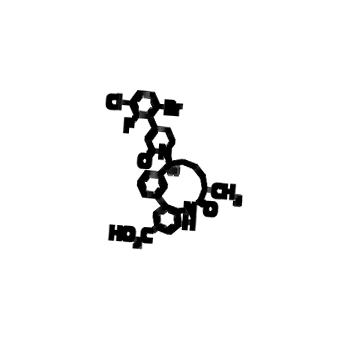 CC1CCC[C@H](N2CCC(c3c(Br)ccc(Cl)c3F)=CC2=O)c2cccc(c2)-c2cc(C(=O)O)ccc2NC1=O